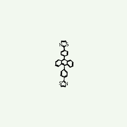 c1ccc2c(-c3ccc(-c4nccs4)cc3)c3ccccc3c(-c3ccc(-c4nccs4)cc3)c2c1